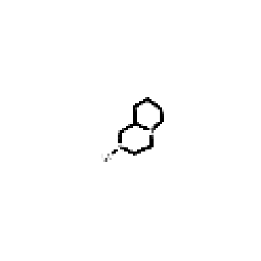 CN1CCN2CCCCC2C1